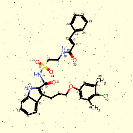 Cc1cc(OCCCc2c(C(=O)NS(=O)(=O)CCNC(=O)/C=C/c3ccccc3)[nH]c3ccccc23)cc(C)c1Cl